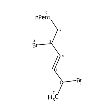 CCCCCCC(Br)C=CC(C)Br